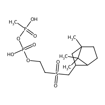 CC12CCC(C(CS(=O)(=O)CCOP(=O)(O)OP(C)(=O)O)C1)C2(C)C